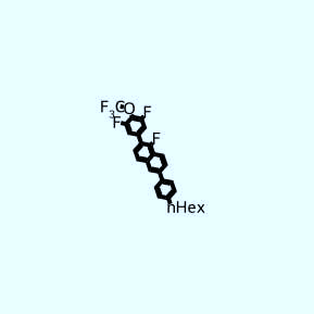 CCCCCCc1ccc(-c2ccc3c(F)c(-c4cc(F)c(OC(F)(F)F)c(F)c4)ccc3c2)cc1